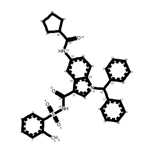 Cc1ccccc1S(=O)(=O)NC(=O)c1cn(C(c2ccccc2)c2ccccc2)c2ccc(NC(=O)C3CCCC3)cc12